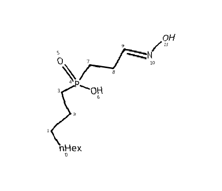 CCCCCCCCCP(=O)(O)CCC=NO